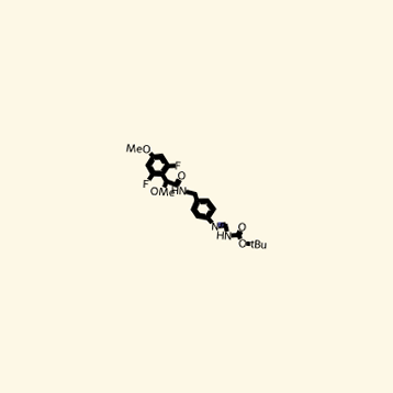 COc1cc(F)c(C(OC)C(=O)NCc2ccc(/N=C/NC(=O)OC(C)(C)C)cc2)c(F)c1